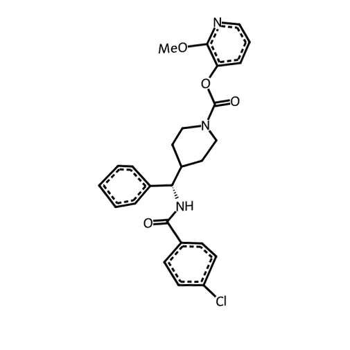 COc1ncccc1OC(=O)N1CCC([C@H](NC(=O)c2ccc(Cl)cc2)c2ccccc2)CC1